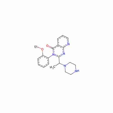 CCOc1ccccc1-n1c(C(C)N2CCNCC2)nc2ncccc2c1=O